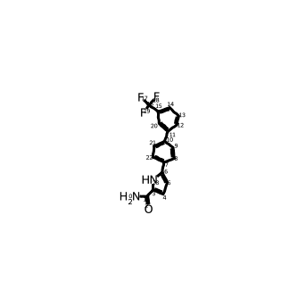 NC(=O)c1ccc(-c2ccc(-c3cccc(C(F)(F)F)c3)cc2)[nH]1